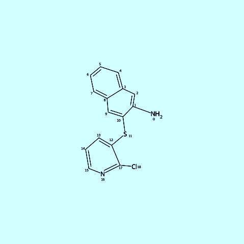 Nc1cc2ccccc2cc1Sc1cccnc1Cl